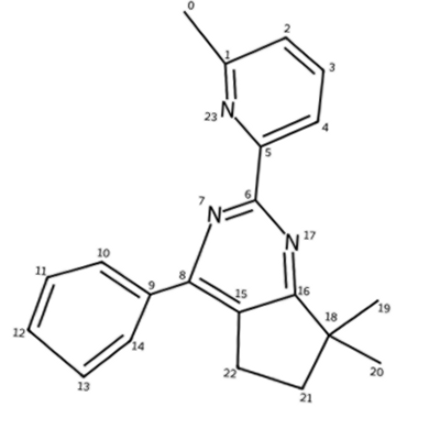 Cc1cccc(-c2nc(-c3ccccc3)c3c(n2)C(C)(C)CC3)n1